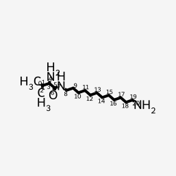 CC(C)C(N)C(=O)NCCCCCCCCCCCCN